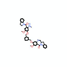 CNc1cc(OCc2cccc(COc3cc4c(cc3OC)C(=O)N3c5ccccc5CC3C=N4)c2)c(OC)cc1C(=O)N1CCc2ccccc21